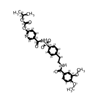 COc1ccc(C(=O)NCCc2ccc(S(=O)(=O)NC(=O)c3ccc(OC(=O)OC(C)C)nc3)cc2)cc1OC